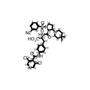 N#Cc1cccc(S(=O)(=O)N2CCC(N3CCC(F)(F)CC3)[C@H]2C(=O)N[C@@H](Cc2ccc(NC(=O)c3c(Cl)cncc3Cl)cc2)C(=O)O)c1